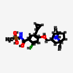 CS(=O)(=O)NC(=O)c1cc(C2CC2)c(OC[C@@H]2C[C@H]3CC[C@@H](C2)N3)cc1F